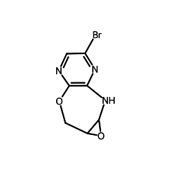 Brc1cnc2c(n1)NC1OC1CO2